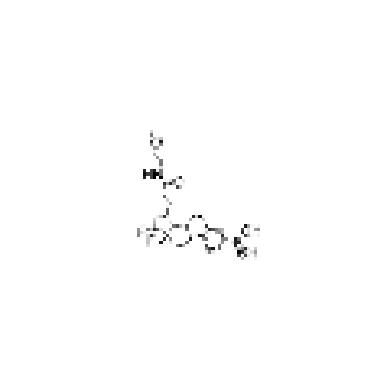 COCCNC(=O)CC[C@@H]1CC(F)(F)[C@@]2(C)CCC3c4ccc(B(O)O)cc4CCC3C12